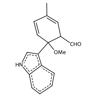 COC1(c2c[nH]c3ccccc23)C=CC(C)=CC1C=O